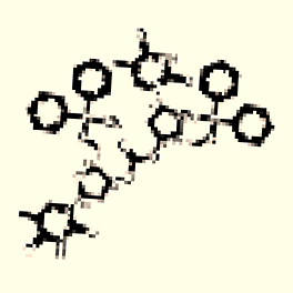 Cc1cn([C@H]2C[C@H](OC(=O)O[C@H]3C[C@H](n4cc(C)c(=O)[nH]c4=O)O[C@@H]3CO[Si](c3ccccc3)(c3ccccc3)C(C)(C)C)[C@@H](CO[Si](c3ccccc3)(c3ccccc3)C(C)(C)C)O2)c(=O)[nH]c1=O